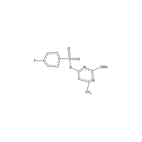 CSc1nc(C)cc(OS(=O)(=O)c2ccc(F)cc2)n1